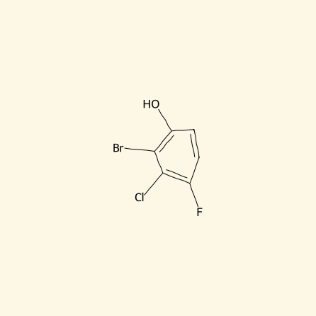 Oc1ccc(F)c(Cl)c1Br